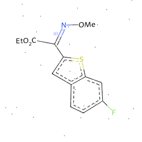 CCOC(=O)/C(=N/OC)c1cc2ccc(F)cc2s1